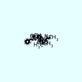 CC[C@H](N)C(=O)N[C@H](C(=O)N1CCC[C@H]1CN(CCc1ccccc1)C(C)=O)C(C)C